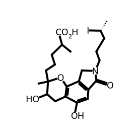 CC(CCCC1(C)Oc2c(c(O)cc3c2CN(CCC[C@@H](C)I)C3=O)CC1O)C(=O)O